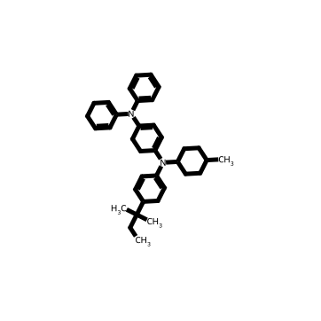 CCC(C)(C)C1C=CC(N(C2=CC=C(N(C3=CCCC=C3)c3ccccc3)CC2)C2CCC(C)CC2)=CC1